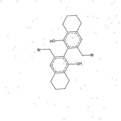 Oc1c2c(cc(CBr)c1-c1c(CBr)cc3c(c1O)CCCC3)CCCC2